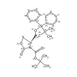 CC(C)(C)OC(=O)N1[C@H](CO[Si](c2ccccc2)(c2ccccc2)C(C)(C)C)COS1=O